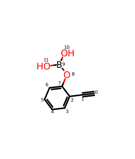 C#Cc1ccccc1OB(O)O